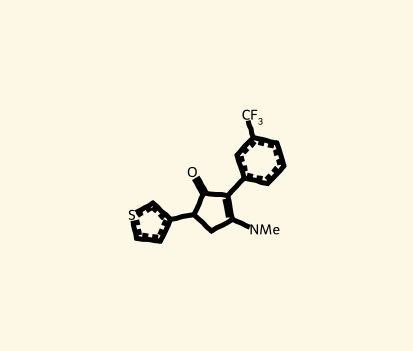 CNC1=C(c2cccc(C(F)(F)F)c2)C(=O)C(c2ccsc2)C1